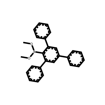 COB(OC)c1c(-c2ccccc2)cc(-c2ccccc2)cc1-c1ccccc1